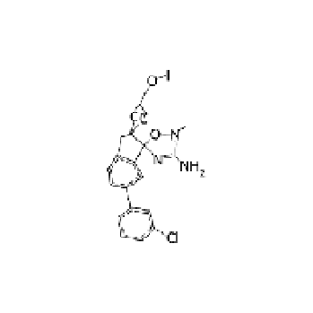 CN1OC2(N=C1N)c1cc(-c3cccc(Cl)c3)ccc1CC21CCC(OI)CC1